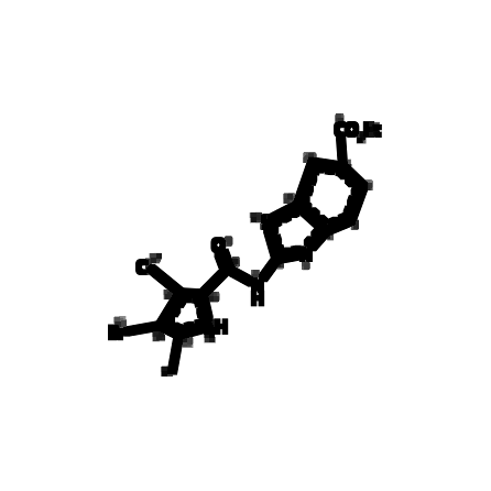 CCOC(=O)c1ccc2nc(NC(=O)c3[nH]c(C)c(Br)c3Cl)sc2c1